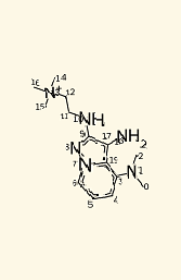 CN(C)c1cccn2nc(NCC[N+](C)(C)C)c(N)c12